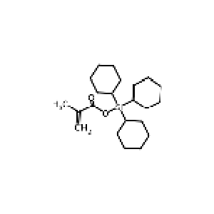 C=C(C)C(=O)O[Si](C1CCCCC1)(C1CCCCC1)C1CCCCC1